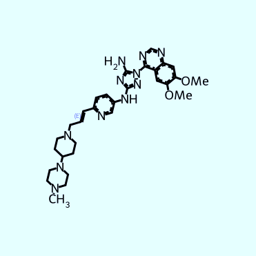 COc1cc2ncnc(-n3nc(Nc4ccc(/C=C/CN5CCC(N6CCN(C)CC6)CC5)nc4)nc3N)c2cc1OC